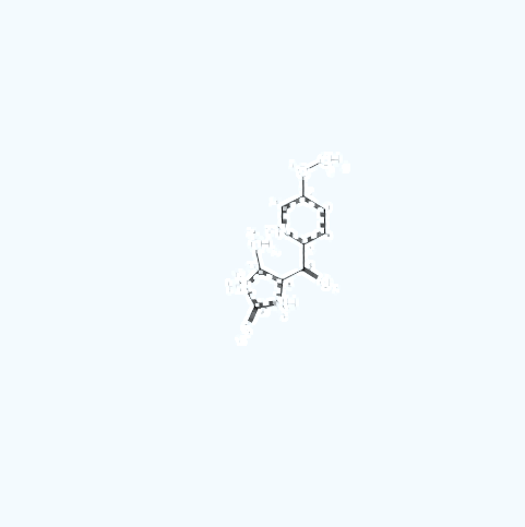 COc1ccc(C(=O)c2[nH]c(=S)[nH]c2C)nc1